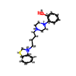 Oc1ccccc1N1CCN(CCCCN2CSc3ccccc32)CC1